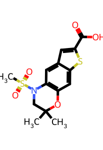 CC1(C)CN(S(C)(=O)=O)c2cc3cc(C(=O)O)sc3cc2O1